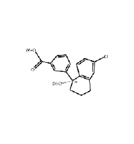 COC(=O)c1cccc([C@]2(C=O)CCCc3cc(Cl)ccc32)c1